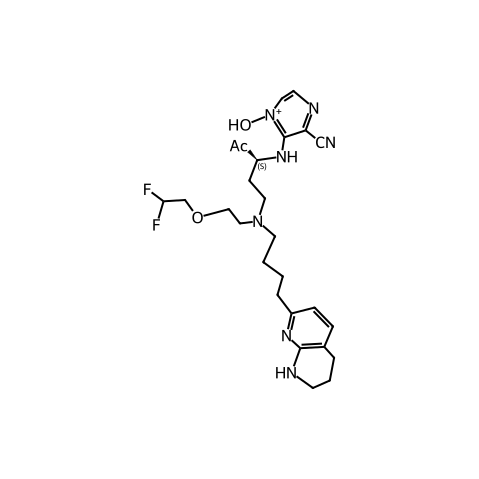 CC(=O)[C@H](CCN(CCCCc1ccc2c(n1)NCCC2)CCOCC(F)F)Nc1c(C#N)ncc[n+]1O